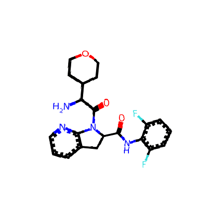 NC(C(=O)N1c2ncccc2CC1C(=O)Nc1c(F)cccc1F)C1CCOCC1